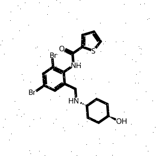 O=C(Nc1c(Br)cc(Br)cc1CN[C@H]1CC[C@H](O)CC1)c1cccs1